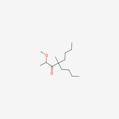 CCCCC(C)(CCCC)C(=O)C(C)OC